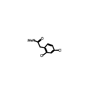 CNC(=O)Cc1ccc(Cl)cc1Cl